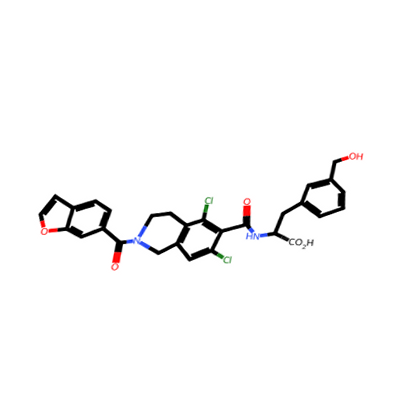 O=C(NC(Cc1cccc(CO)c1)C(=O)O)c1c(Cl)cc2c(c1Cl)CCN(C(=O)c1ccc3ccoc3c1)C2